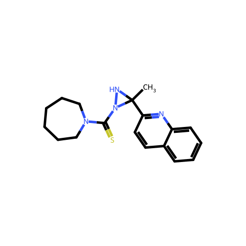 CC1(c2ccc3ccccc3n2)NN1C(=S)N1CCCCCC1